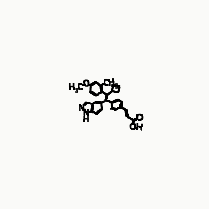 COc1ccc(C(=C(c2ccc(C=CC(=O)O)cc2)c2ccc3[nH]ncc3c2)C2CCC2)c(C)c1